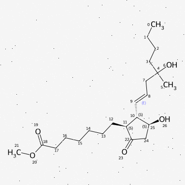 CCCCC(C)(O)C/C=C/[C@H]1[C@H](CCCCCCC(=O)OC)C(=O)C[C@@H]1O